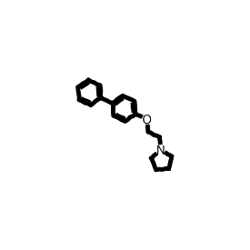 c1ccc(-c2ccc(OCCN3CCCC3)cc2)cc1